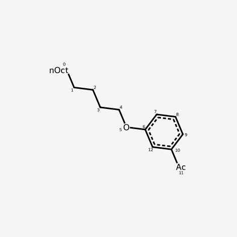 CCCCCCCCCCCCOc1cccc(C(C)=O)c1